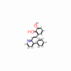 COc1cccc(/C=C/c2ncccc2-c2ccccc2)c1O